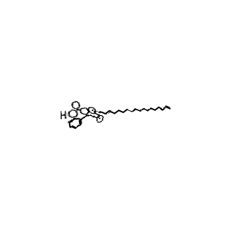 CCCCCCCCCCCCCCCCCCS(=O)(=O)CC(OC(=O)O)c1ccccc1